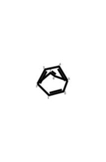 [c]1cc2ccc1cc2